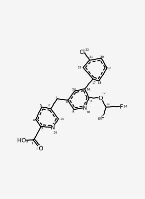 O=C(O)c1ccc(Cc2cnc(OC(F)F)c(-c3cccc(Cl)c3)c2)cn1